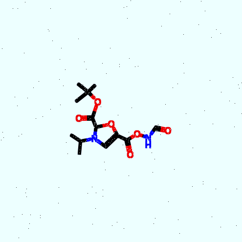 CC(C)N1C=C(C(=O)ONC=O)OC1C(=O)OC(C)(C)C